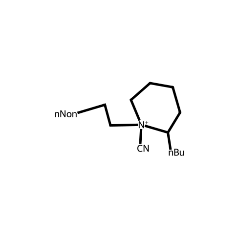 CCCCCCCCCCC[N+]1(C#N)CCCCC1CCCC